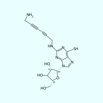 NCC#CC#CCNc1nc(S)c2ncn([C@@H]3O[C@H](CO)C(O)[C@@H]3O)c2n1